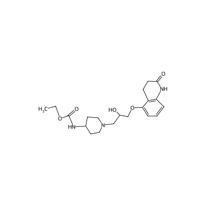 CCOC(=O)NC1CCN(CC(O)COc2cccc3c2CCC(=O)N3)CC1